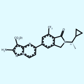 CCOC(=O)c1c(N)nn2ccc(-c3cc4c(c(C(F)(F)F)c3)C(=O)N([C@@H](C)C3CC3)C4)nc12